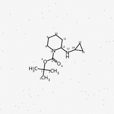 CC(C)(C)OC(=O)N1CCCCC1NC1CC1